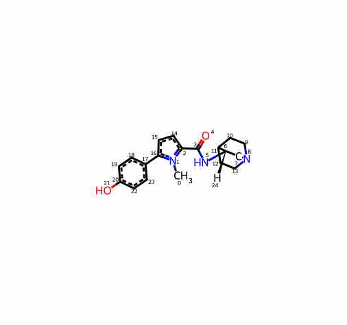 Cn1c(C(=O)N[C@H]2CN3CCC2CC3)ccc1-c1ccc(O)cc1